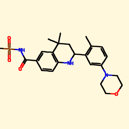 Cc1ccc(N2CCOCC2)cc1C1CC(C)(C)c2cc(C(=O)NS(C)(=O)=O)ccc2N1